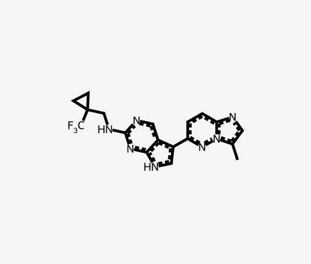 Cc1cnc2ccc(-c3c[nH]c4nc(NCC5(C(F)(F)F)CC5)ncc34)nn12